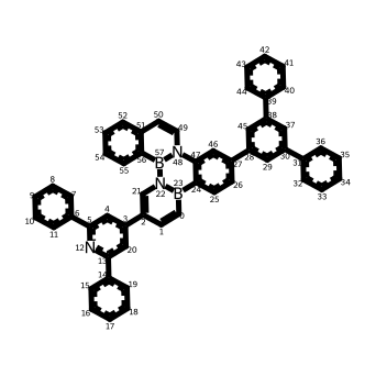 C1=CC(c2cc(-c3ccccc3)nc(-c3ccccc3)c2)=CN2B1c1ccc(-c3cc(-c4ccccc4)cc(-c4ccccc4)c3)cc1N1C=Cc3ccccc3B21